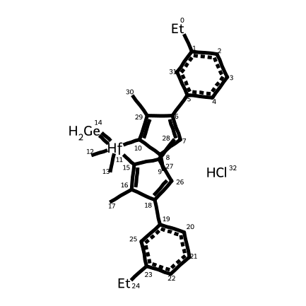 CCc1cccc(C2=CC(C)[C]([Hf]([CH3])([CH3])(=[GeH2])[C]3=C(C)C(c4cccc(CC)c4)=CC3C)=C2C)c1.Cl